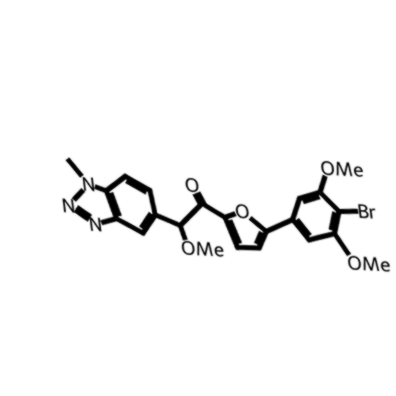 COc1cc(-c2ccc(C(=O)C(OC)c3ccc4c(c3)nnn4C)o2)cc(OC)c1Br